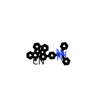 N#Cc1cc2c(c3ccccc13)-c1ccccc1C21c2ccccc2-c2c(-c3ccc(-c4nc(-c5ccccc5)nc(-c5ccccc5)n4)cc3)cccc21